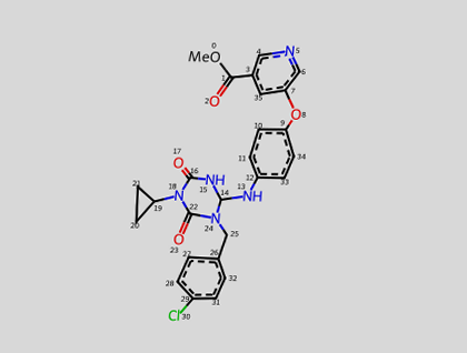 COC(=O)c1cncc(Oc2ccc(NC3NC(=O)N(C4CC4)C(=O)N3Cc3ccc(Cl)cc3)cc2)c1